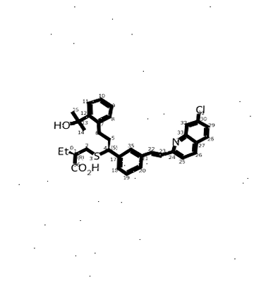 CC[C@@H](CS[C@@H](CCc1ccccc1C(C)(C)O)c1cccc(C=Cc2ccc3ccc(Cl)cc3n2)c1)C(=O)O